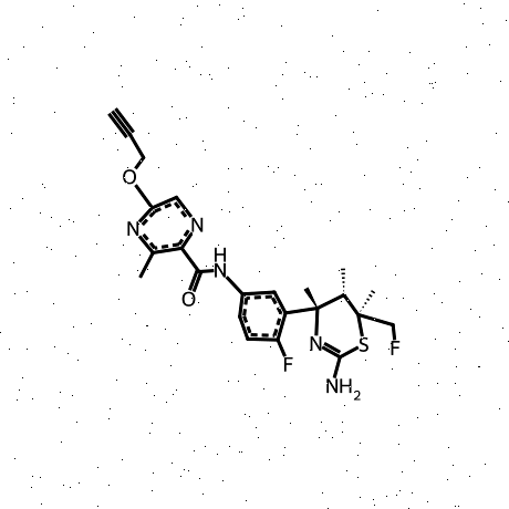 C#CCOc1cnc(C(=O)Nc2ccc(F)c([C@@]3(C)N=C(N)S[C@](C)(CF)[C@H]3C)c2)c(C)n1